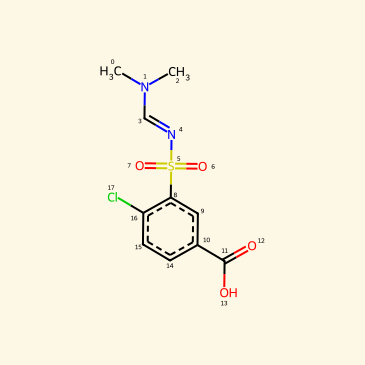 CN(C)C=NS(=O)(=O)c1cc(C(=O)O)ccc1Cl